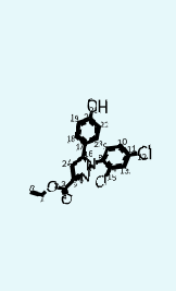 CCOC(=O)C1=NN(c2ccc(Cl)cc2Cl)C(c2ccc(O)cc2)C1